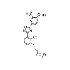 CCOC(=O)CCCc1cccc(-c2noc(-c3ccc(OC(C)C)c(C)c3)n2)c1CC